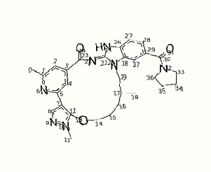 Cc1cc2cc(n1)-c1cnn(C)c1OCCC[C@@H](C)CN1/C(=N/C2=O)Nc2ccc(C(=O)N3CCCC3)cc21